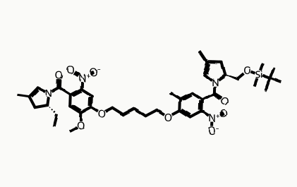 CC[C@@H]1CC(C)=CN1C(=O)c1cc(OC)c(OCCCCCOc2cc([N+](=O)[O-])c(C(=O)N3C=C(C)C[C@H]3CO[Si](C)(C)C(C)(C)C)cc2C)cc1[N+](=O)[O-]